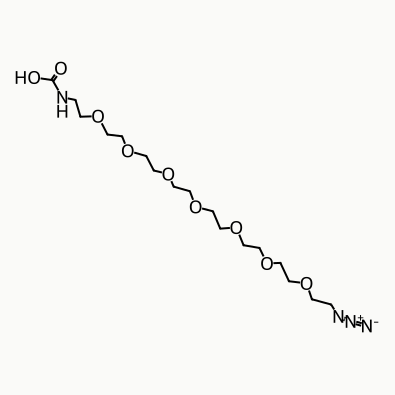 [N-]=[N+]=NCCOCCOCCOCCOCCOCCOCCOCCNC(=O)O